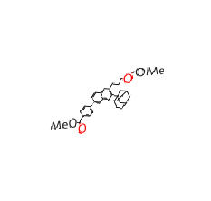 COCOCCCc1cc2ccc(-c3ccc(C(=O)OC)cc3)cc2cc1C12CC3CC(CC(C3)C1)C2